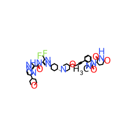 Cn1c(=O)n(C2CCC(=O)NC2=O)c2cccc(C#CCOC3CCN(C[C@H]4CC[C@H](n5cc(NC(=O)c6cnn7ccc(C8CCOCC8)nc67)c(C(F)F)n5)CC4)CC3)c21